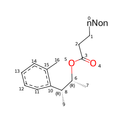 CCCCCCCCCCCC(=O)O[C@H](C)[C@H](C)c1ccccc1C